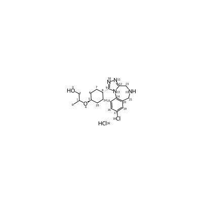 CC(CO)O[C@H]1CC[C@H](c2nnc3n2-c2ccc(Cl)cc2CNC3)CC1.Cl